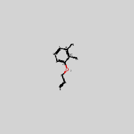 C=CCOc1cc[c]c(C)c1C